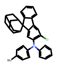 CC(C)(C)c1ccc(N(c2ccccc2)c2cc3c(cc2Cl)-c2ccccc2C32C3CC4CC(C3)CC2C4)cc1